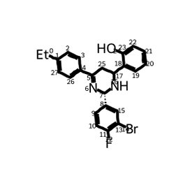 CCc1ccc(C2=N[C@@H](c3ccc(F)c(Br)c3)NC(c3ccccc3O)C2)cc1